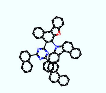 c1ccc2cc3c(cc2c1)c1c2ccccc2ccc1n3-c1c(-c2nc(-c3ccc4c(ccc5ccccc54)c3)nc(-c3cccc4ccccc34)n2)c2ccccc2c2c1oc1ccccc12